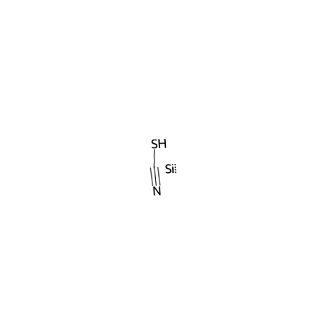 N#CS.[Si]